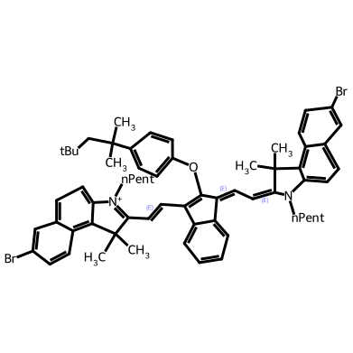 CCCCCN1/C(=C/C=C2C(Oc3ccc(C(C)(C)CC(C)(C)C)cc3)=C(/C=C/C3=[N+](CCCCC)c4ccc5cc(Br)ccc5c4C3(C)C)c3ccccc3/2)C(C)(C)c2c1ccc1cc(Br)ccc21